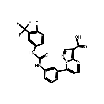 O=C(Nc1cccc(-c2ccnc3c(C(=O)O)cnn23)c1)Nc1ccc(F)c(C(F)(F)F)c1